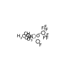 CC(C)(C)OC(=O)N1CC[C@H](OCc2cc(C(F)(F)F)cc(C(F)(F)F)c2)[C@H](c2ccc(F)cc2)C1